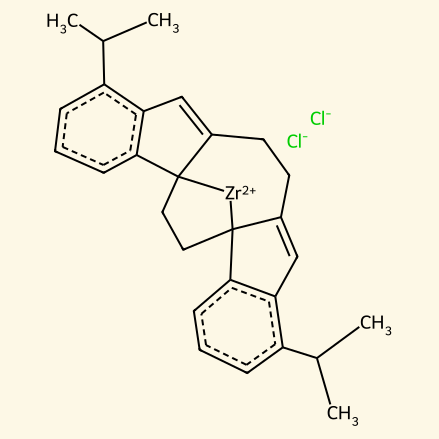 CC(C)c1cccc2c1C=C1CCC3=Cc4c(C(C)C)cccc4[C]34CC[C]12[Zr+2]4.[Cl-].[Cl-]